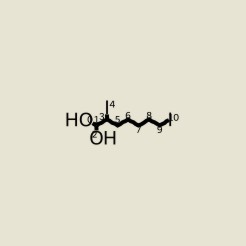 OC(O)C(I)CCCCCI